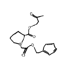 CC(=O)COC(=O)[C@@H]1CCCN1C(=O)OCc1ccccc1